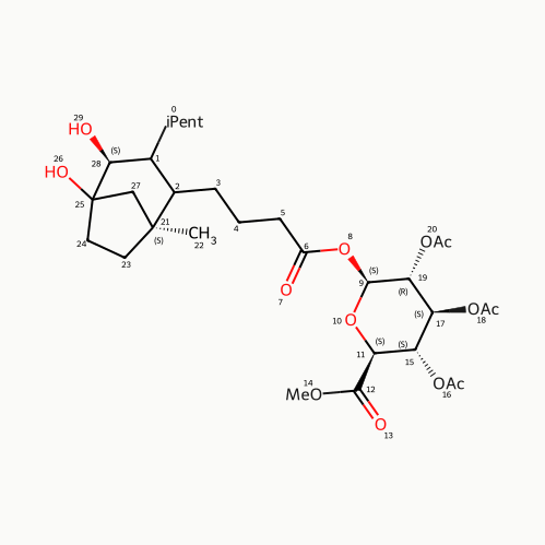 CCCC(C)C1C(CCCC(=O)O[C@@H]2O[C@H](C(=O)OC)[C@@H](OC(C)=O)[C@H](OC(C)=O)[C@H]2OC(C)=O)[C@@]2(C)CCC(O)(C2)[C@H]1O